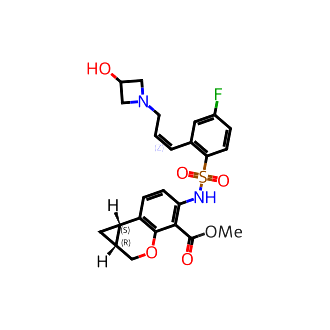 COC(=O)c1c(NS(=O)(=O)c2ccc(F)cc2/C=C\CN2CC(O)C2)ccc2c1OC[C@@H]1C[C@H]21